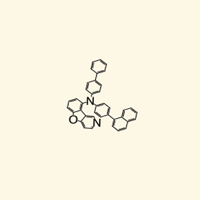 c1ccc(-c2ccc(N(c3ccc(-c4cccc5ccccc45)cc3)c3cccc4oc5ccncc5c34)cc2)cc1